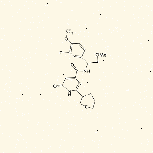 COC[C@@H](NC(=O)c1cc(=O)[nH]c(C2CCCCC2)n1)c1ccc(OC(F)(F)F)c(F)c1